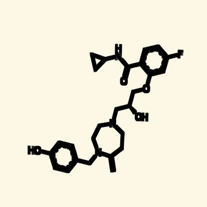 C=C1CCN(C[C@H](O)COc2cc(F)ccc2C(=O)NC2CC2)CCN1Cc1ccc(O)cc1